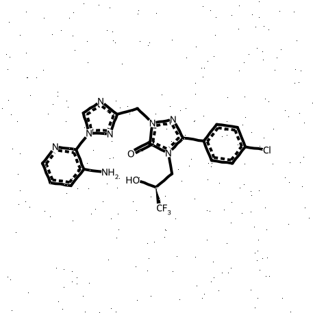 Nc1cccnc1-n1cnc(Cn2nc(-c3ccc(Cl)cc3)n(C[C@H](O)C(F)(F)F)c2=O)n1